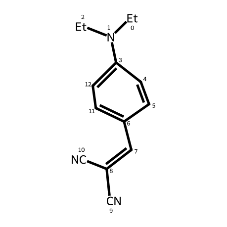 CCN(CC)c1ccc(C=C(C#N)C#N)cc1